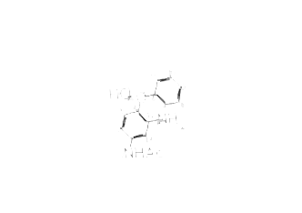 CC(=O)Nc1ccc(Oc2ccccc2)c(N)c1.Cl